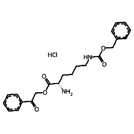 Cl.N[C@@H](CCCCNC(=O)OCc1ccccc1)C(=O)OCC(=O)c1ccccc1